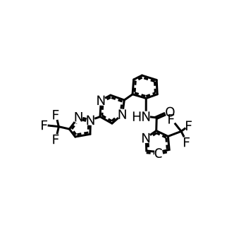 O=C(Nc1ccccc1-c1cnc(-n2ccc(C(F)(F)F)n2)cn1)c1ncccc1C(F)(F)F